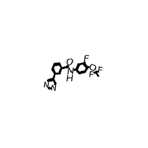 CC(F)(F)Oc1ccc(NC(=O)c2cccc(-c3cncnc3)c2)cc1F